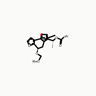 CCCC(=O)O[C@H](C)C1=CC[C@@]23OCCN(C)C[C@@]12C[C@@H](OCOC)c1occc13